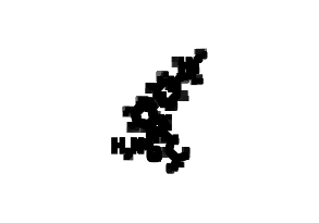 CC(C)CCc1nc2c(N3CCN(C4CN(C)C4)CC3)cccc2n1C(N)=O